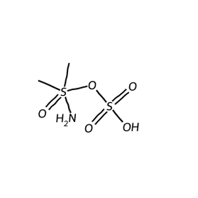 CS(C)(N)(=O)OS(=O)(=O)O